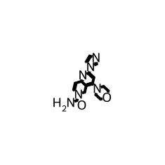 NC(=O)N1C=Cc2nc(-n3ccnc3)cc(N3CCOCC3)c2C1